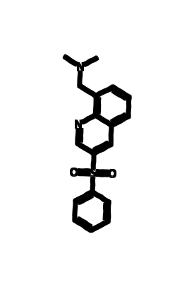 CN(C)Cc1cccc2cc(S(=O)(=O)c3ccccc3)cnc12